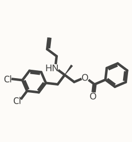 C=CCN[C@](C)(COC(=O)c1ccccc1)Cc1ccc(Cl)c(Cl)c1